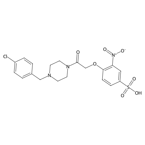 O=C(COc1ccc(S(=O)(=O)O)cc1[N+](=O)[O-])N1CCN(Cc2ccc(Cl)cc2)CC1